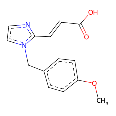 COc1ccc(Cn2ccnc2/C=C/C(=O)O)cc1